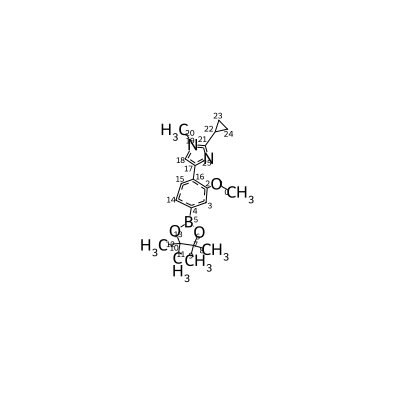 COc1cc(B2OC(C)(C)C(C)(C)O2)ccc1-c1cn(C)c(C2CC2)n1